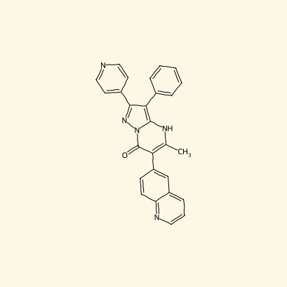 Cc1[nH]c2c(-c3ccccc3)c(-c3ccncc3)nn2c(=O)c1-c1ccc2ncccc2c1